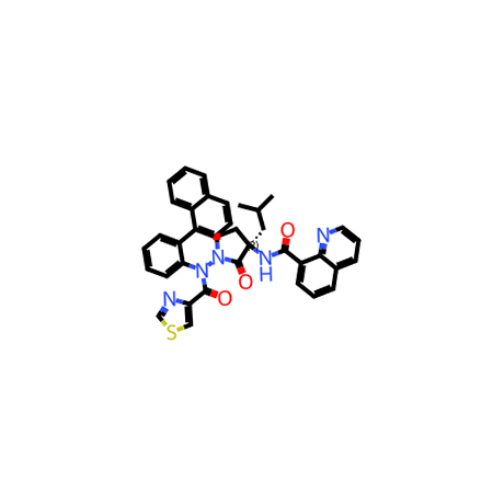 CC(C)C[C@@]1(NC(=O)c2cccc3cccnc23)CCN(N(C(=O)c2cscn2)c2ccccc2-c2cccc3ccccc23)C1=O